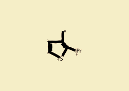 Cc1ccsc1C(C)C